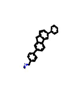 C=NCc1ccc(-c2ccc3c(c2)Cc2ccc(-c4ccccc4)cc2-3)cc1